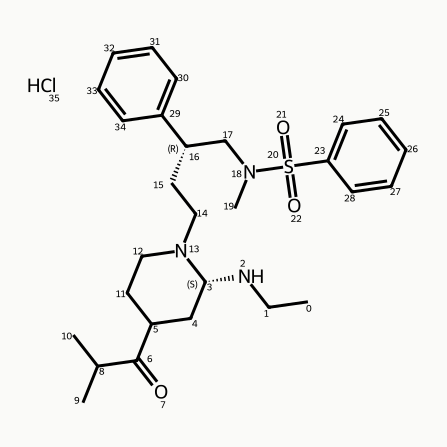 CCN[C@@H]1CC(C(=O)C(C)C)CCN1CC[C@@H](CN(C)S(=O)(=O)c1ccccc1)c1ccccc1.Cl